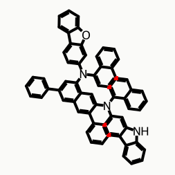 c1ccc(-c2cc(N(c3ccc4c(c3)oc3ccccc34)c3cccc4ccccc34)c3cc(N(c4ccc5c(c4)[nH]c4ccccc45)c4cccc5ccccc45)c(-c4ccccc4)cc3c2)cc1